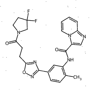 Cc1ccc(-c2noc(CCC(=O)N3CCC(F)(F)C3)n2)cc1NC(=O)c1cnc2ccccn12